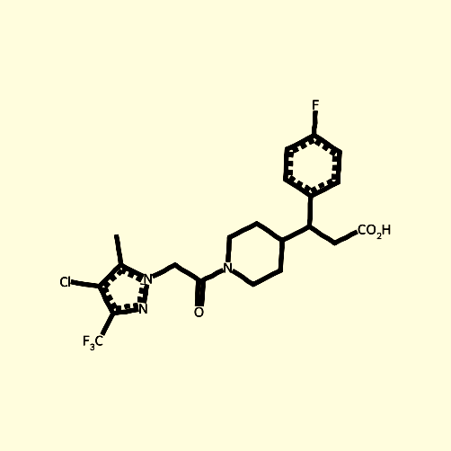 Cc1c(Cl)c(C(F)(F)F)nn1CC(=O)N1CCC(C(CC(=O)O)c2ccc(F)cc2)CC1